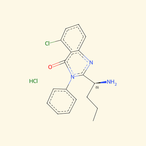 CCC[C@H](N)c1nc2cccc(Cl)c2c(=O)n1-c1ccccc1.Cl